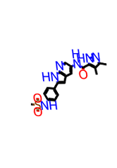 Cc1n[nH]c(C(=O)Nc2cnc3[nH]c(-c4ccc(NS(C)(=O)=O)cc4)cc3c2)c1C